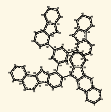 c1ccc2cc3c(cc2c1)c1ccccc1n3-c1ccc2c(oc3c4ccccc4ccc23)c1-c1nc(-c2cccc3c2oc2ccccc23)nc(-c2cccc3c2oc2ccccc23)n1